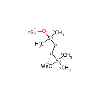 CCCCO[Si](C)(C)CC[Si](C)(C)OC